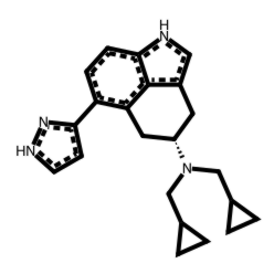 c1cc(-c2ccc3[nH]cc4c3c2C[C@@H](N(CC2CC2)CC2CC2)C4)n[nH]1